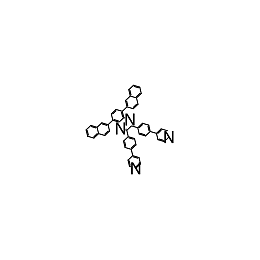 c1ccc2cc(-c3ccc(-c4ccc5ccccc5c4)c4nc(-c5ccc(-c6ccncc6)cc5)c(-c5ccc(-c6ccncc6)cc5)nc34)ccc2c1